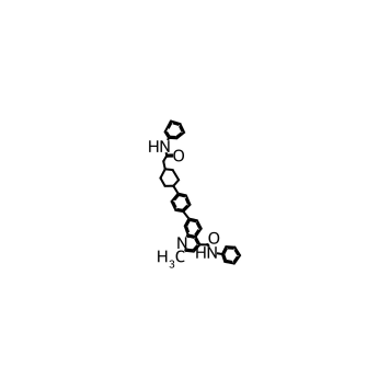 Cc1cc(C(=O)Nc2ccccc2)c2ccc(-c3ccc(C4CCC(CC(=O)Nc5ccccc5)CC4)cc3)cc2n1